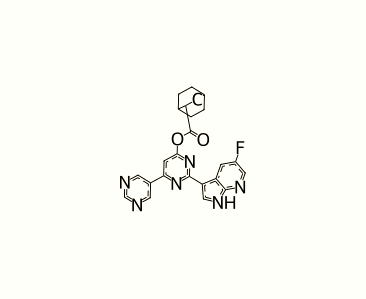 O=C(Oc1cc(-c2cncnc2)nc(-c2c[nH]c3ncc(F)cc23)n1)C1CC2CCC1CC2